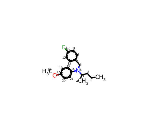 CCCC(C)N(Cc1ccc(F)cc1)c1ccc(OC)cc1